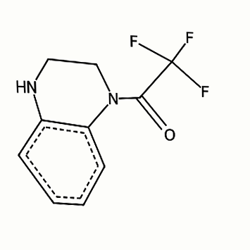 O=C(N1CCNc2ccccc21)C(F)(F)F